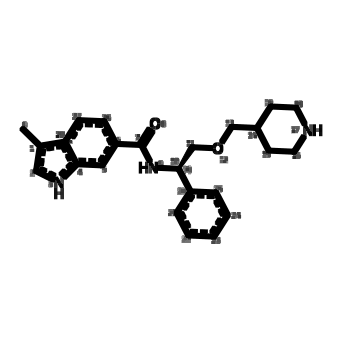 Cc1c[nH]c2cc(C(=O)N[C@@H](COCC3CCNCC3)c3ccccc3)ccc12